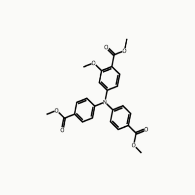 COC(=O)c1ccc(N(c2ccc(C(=O)OC)cc2)c2ccc(C(=O)OC)c(OC)c2)cc1